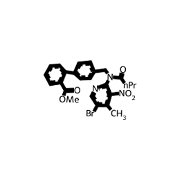 CCCC(=O)N(Cc1ccc(-c2ccccc2C(=O)OC)cc1)c1ncc(Br)c(C)c1[N+](=O)[O-]